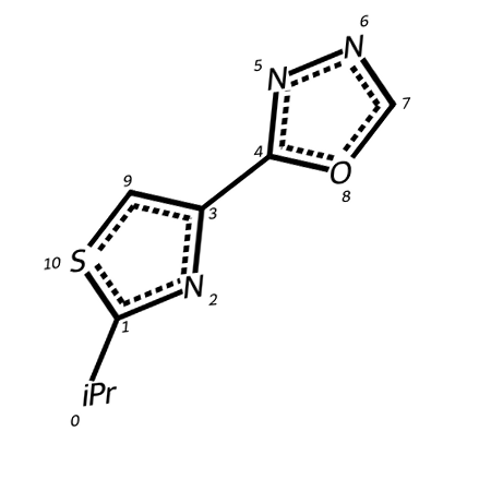 CC(C)c1nc(-c2nnco2)cs1